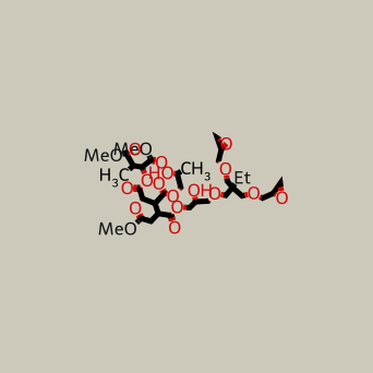 CCC(COCC(O)COC(=O)C(CC(=O)OC)C(CC(=O)OC(C(=O)OC)C(C)C(=O)OC)C(=O)OCC(C)O)(COCC1CO1)COCC1CO1